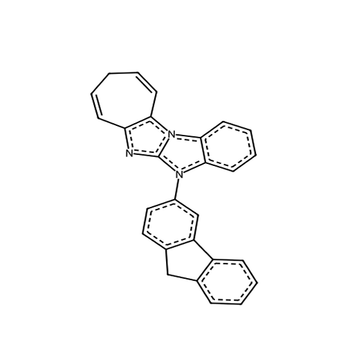 C1=Cc2nc3n(-c4ccc5c(c4)-c4ccccc4C5)c4ccccc4n3c2C=CC1